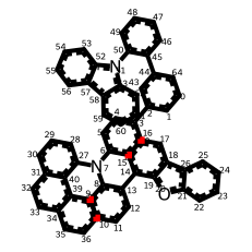 c1cc(-c2ccc(N(c3ccccc3-c3cccc4c3oc3ccccc34)c3cccc4ccc5ccccc5c34)cc2)cc(-c2ccccc2-n2c3ccccc3c3ccccc32)c1